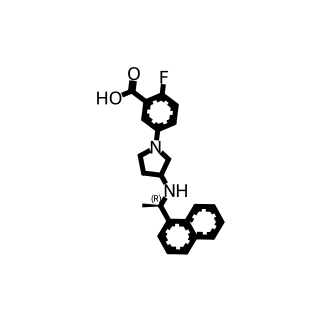 C[C@@H](NC1CCN(c2ccc(F)c(C(=O)O)c2)C1)c1cccc2ccccc12